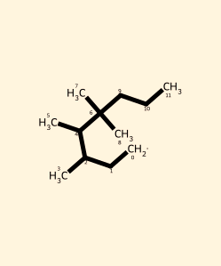 [CH2]CC(C)C(C)C(C)(C)CCC